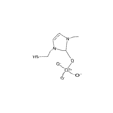 CN1C=CN(CS)C1O[Cl+3]([O-])([O-])[O-]